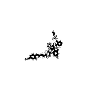 C=CCOC(=O)OCc1ccccc1C(=O)OC(Cn1cncn1)(c1ccc(F)cc1F)C(C)SC1COC(C=CC=Cc2ccc(C#N)cc2F)OC1